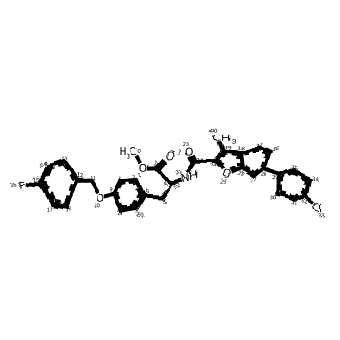 COC(=O)[C@H](Cc1ccc(OCc2ccc(F)cc2)cc1)NC(=O)c1oc2cc(-c3ccc(Cl)cc3)ccc2c1C